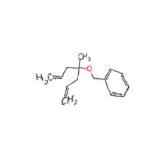 C=CCC(C)(CC=C)OCc1ccccc1